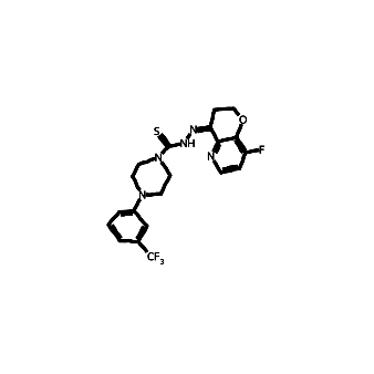 Fc1ccnc2c1OCC/C2=N/NC(=S)N1CCN(c2cccc(C(F)(F)F)c2)CC1